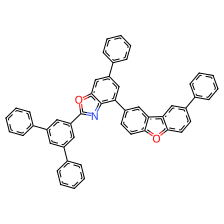 c1ccc(-c2cc(-c3ccccc3)cc(-c3nc4c(-c5ccc6oc7ccc(-c8ccccc8)cc7c6c5)cc(-c5ccccc5)cc4o3)c2)cc1